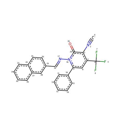 [C-]#[N+]c1c(C(F)(F)F)cc(-c2ccccc2)n(/N=C/c2ccc3ccccc3c2)c1=O